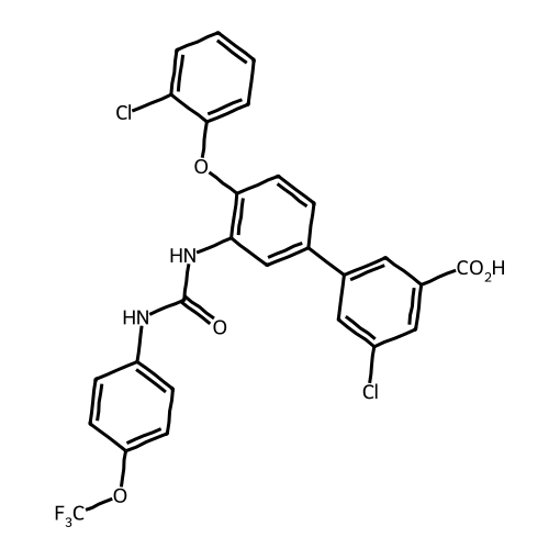 O=C(Nc1ccc(OC(F)(F)F)cc1)Nc1cc(-c2cc(Cl)cc(C(=O)O)c2)ccc1Oc1ccccc1Cl